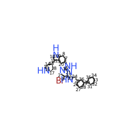 Brc1cnc(Nc2ccc3[nH]cc(C4=CCNCC4)c3c2)nc1NCc1cccc(-c2ccccc2)c1